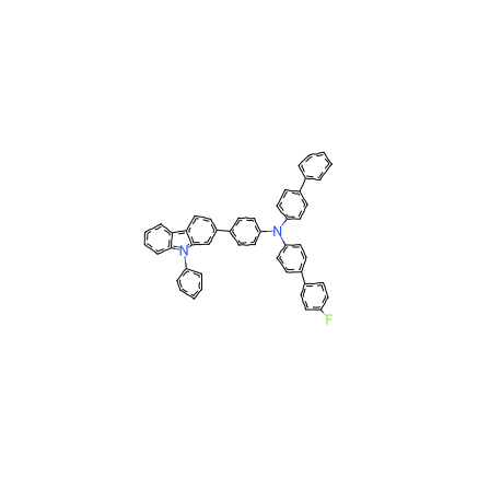 Fc1ccc(-c2ccc(N(c3ccc(-c4ccccc4)cc3)c3ccc(-c4ccc5c6ccccc6n(-c6ccccc6)c5c4)cc3)cc2)cc1